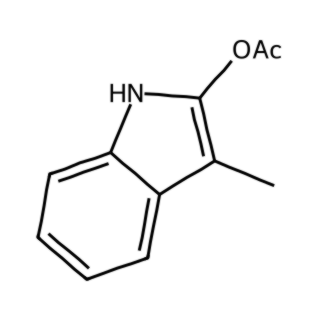 CC(=O)Oc1[nH]c2ccccc2c1C